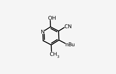 CCCCc1c(C)cnc(O)c1C#N